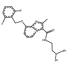 Cc1nc2c(OCc3c(F)cccc3F)cccn2c1C(=O)NCCN(C(C)C)C(C)C